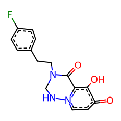 O=C1c2c(O)c(=O)ccn2NCN1CCc1ccc(F)cc1